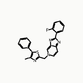 Cc1nc(Cn2ccc3nc(-c4ccccc4F)nc-3c2)sc1-c1ccccc1